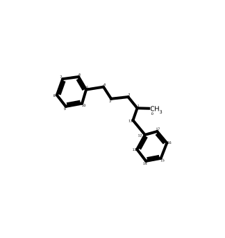 CC(CCCc1ccccc1)Cc1ccccc1